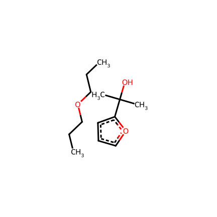 CC(C)(O)c1ccco1.CCCOCCC